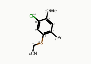 COc1cc(C(C)C)c(SCC#N)cc1Cl